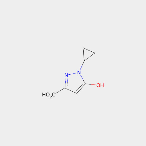 O=C(O)c1cc(O)n(C2CC2)n1